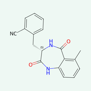 Cc1cccc2c1C(=O)N[C@@H](Cc1ccccc1C#N)C(=O)N2